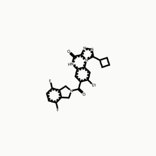 CCc1cc2c(cc1C(=O)N1Cc3c(F)ccc(F)c3C1)[nH]c(=O)c1nnc(C3CCC3)n12